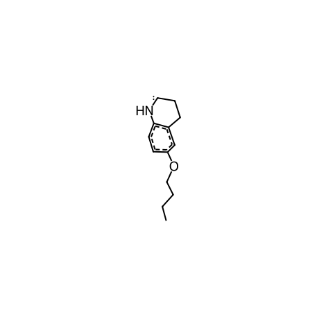 CCCCOc1ccc2c(c1)CC[C]N2